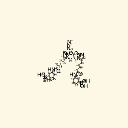 [N-]=[N+]=NCOC(=O)C(Cn1nncc1CCCCC(=O)Nc1cccc(B(O)O)c1)Cn1nncc1CCCCC(=O)Nc1cccc(B(O)O)c1